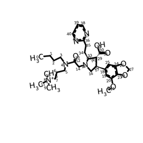 CCCCN(CCC[N+](C)(C)C)C(=O)CN1C[C@H](c2cc(OC)c3c(c2)OCO3)[C@@H](C(=O)O)[C@@H]1CCc1ncccn1